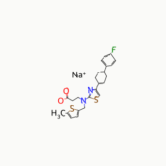 Cc1ccc(CN(CCC(=O)[O-])c2nc(C3CCC(c4ccc(F)cc4)CC3)cs2)s1.[Na+]